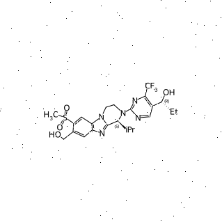 CC[C@@H](O)c1cnc(N2CCn3c(nc4cc(CO)c(S(C)(=O)=O)cc43)[C@@H]2C(C)C)nc1C(F)(F)F